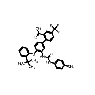 Cc1ccc(NC(=O)Nc2cc(-c3ccc(C(F)(F)F)cc3C(=O)O)ccc2Oc2ccccc2C(C)(C)C)cc1